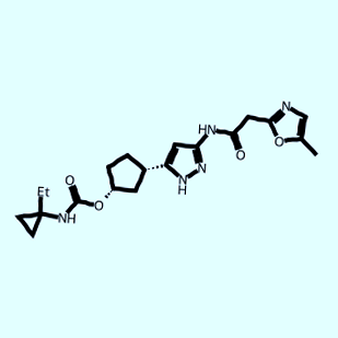 CCC1(NC(=O)O[C@@H]2CC[C@H](c3cc(NC(=O)Cc4ncc(C)o4)n[nH]3)C2)CC1